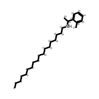 CCCCCCCCCCCCCCCCCCNC(C)c1ccccc1C